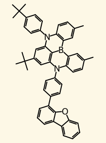 Cc1ccc2c(c1)B1c3cc(C)ccc3N(c3ccc(C(C)(C)C)cc3)c3cc(C(C)(C)C)cc(c31)N2c1ccc(-c2cccc3c2oc2ccccc23)cc1